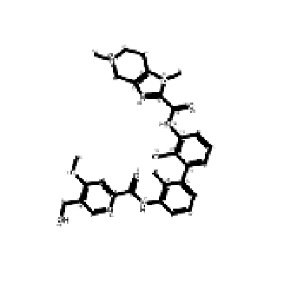 COc1cc(C(=O)Nc2cccc(-c3cccc(NC(=O)c4nc5c(n4C)CCN(C)C5)c3Cl)c2C)ncc1CO